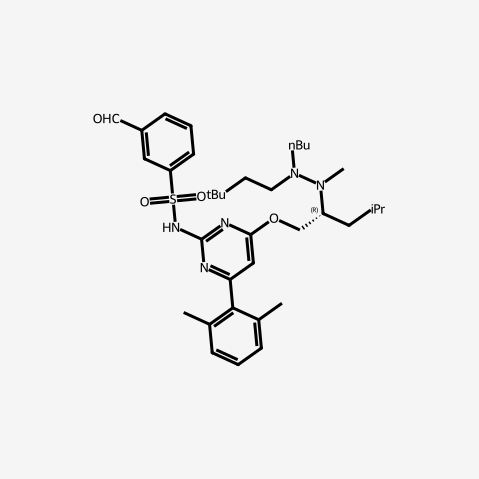 CCCCN(CCC(C)(C)C)N(C)[C@@H](COc1cc(-c2c(C)cccc2C)nc(NS(=O)(=O)c2cccc(C=O)c2)n1)CC(C)C